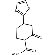 COC(=O)C1CCC(c2nccs2)CC1=O